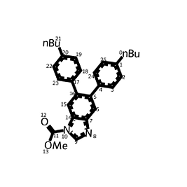 CCCCc1ccc(-c2cc3ncn(C(=O)OC)c3cc2-c2ccc(CCCC)cc2)cc1